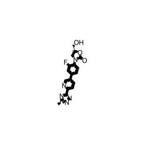 Cn1nnc(-c2ccc(-c3ccc(N4C[C@H](CO)OC4=O)c(F)c3)cn2)n1